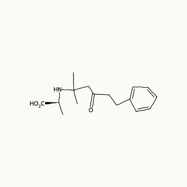 C[C@H](NC(C)(C)CC(=O)CCc1ccccc1)C(=O)O